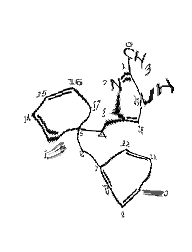 Cc1nc(CC2(Cc3ccccc3)C=CC=CC2)c[nH]1